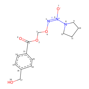 O=C(OCO/N=[N+](/[O-])N1CCCC1)c1ccc(CO)cc1